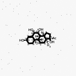 CC(=O)[C@@]1(O)CC[C@H]2[C@@H]3[C@H](O)[C@H](O)C4=C[C@H](O)CC[C@]4(C)[C@H]3CC[C@@]21C